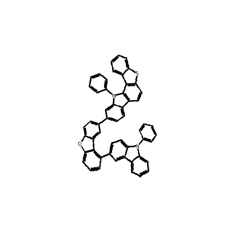 c1ccc(-n2c3ccccc3c3cc(-c4cccc5oc6ccc(-c7ccc8c9ccc%10sc%11ccccc%11c%10c9n(-c9ccccc9)c8c7)cc6c45)ccc32)cc1